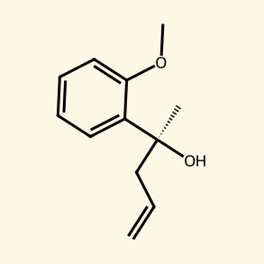 C=CC[C@](C)(O)c1ccccc1OC